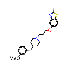 COc1cccc(CC2CCN(CCCOc3ccc4sc(C)nc4c3)CC2)c1